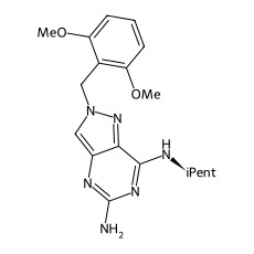 CCC[C@H](C)Nc1nc(N)nc2cn(Cc3c(OC)cccc3OC)nc12